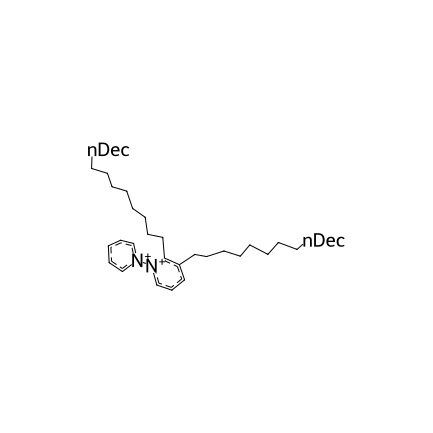 CCCCCCCCCCCCCCCCCCc1ccc[n+](-[n+]2ccccc2)c1CCCCCCCCCCCCCCCCCC